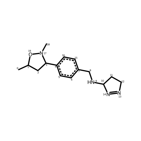 CC1CC(c2ccc(CNC3CCN=N3)cc2)N(C)O1